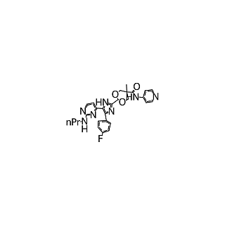 CCCNc1nccc(-c2[nH]c(C3OCC(C)(C(=O)Nc4ccncc4)CO3)nc2-c2ccc(F)cc2)n1